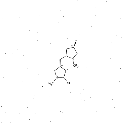 CCC1C[C@H](CC2C[C@@H](F)CN2C)CN1C